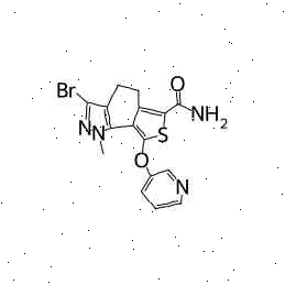 Cn1nc(Br)c2c1-c1c(Oc3cccnc3)sc(C(N)=O)c1CC2